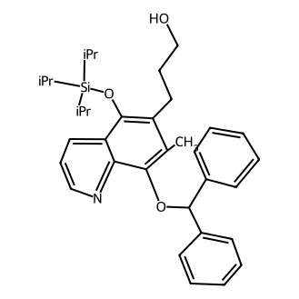 Cc1c(CCCO)c(O[Si](C(C)C)(C(C)C)C(C)C)c2cccnc2c1OC(c1ccccc1)c1ccccc1